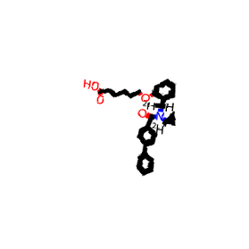 [2H]C1(N(C(=O)c2ccc(-c3ccccc3)cc2)C([2H])([2H])c2ccccc2OCCCCCC(=O)O)CC1